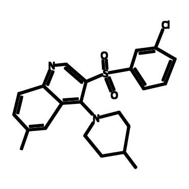 Cc1ccc2ncc(S(=O)(=O)c3cccc(Cl)c3)c(N3CCC(C)CC3)c2c1